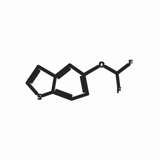 FC(F)Oc1ccc2sccc2c1